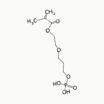 C=C(C)C(=O)OCCOCCCOP(=O)(O)O